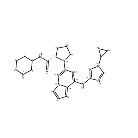 O=C(NC1CCCNC1)[C@@H]1CCCN1c1nc(Nc2cn(C3CC3)cn2)c2cccn2n1